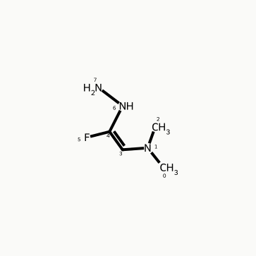 CN(C)/C=C(/F)NN